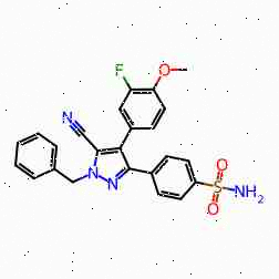 COc1ccc(-c2c(-c3ccc(S(N)(=O)=O)cc3)nn(Cc3ccccc3)c2C#N)cc1F